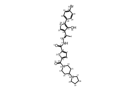 C/C(=N\NC(=O)c1ccc(C(=O)N2CCC(N3CCCC3)CC2)s1)c1csc(-c2ccc(Br)cc2)c1O